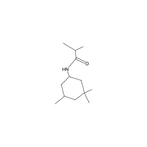 CC1CC(NC(=O)C(C)C)CC(C)(C)C1